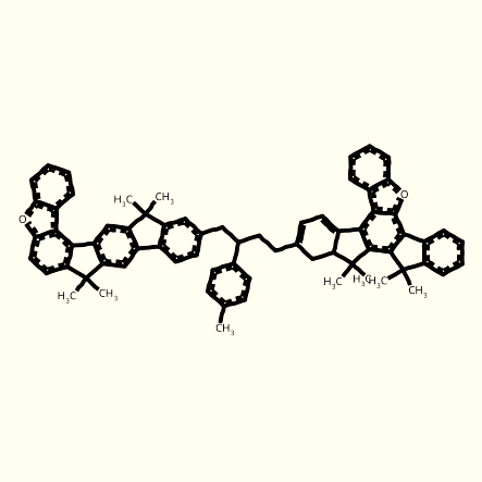 Cc1ccc(C(CCC2=CC=C3c4c(c5c(c6oc7ccccc7c46)-c4ccccc4C5(C)C)C(C)(C)C3C2)Cc2ccc3c(c2)C(C)(C)c2cc4c(cc2-3)C(C)(C)c2ccc3oc5ccccc5c3c2-4)cc1